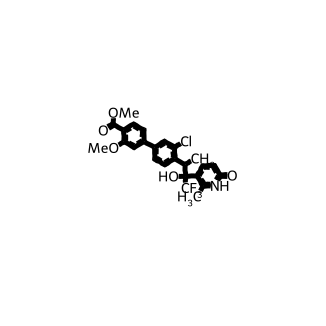 COC(=O)c1ccc(-c2ccc(C(C)C(O)(c3ccc(=O)[nH]c3C)C(F)(F)F)c(Cl)c2)cc1OC